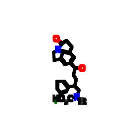 CCN(CC(CCC(=O)c1cc2c3c(c1)CCN3C(=O)CC2)c1cccc(F)c1)C(=O)O